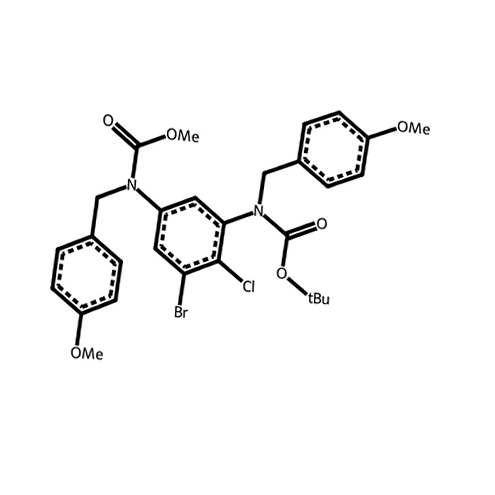 COC(=O)N(Cc1ccc(OC)cc1)c1cc(Br)c(Cl)c(N(Cc2ccc(OC)cc2)C(=O)OC(C)(C)C)c1